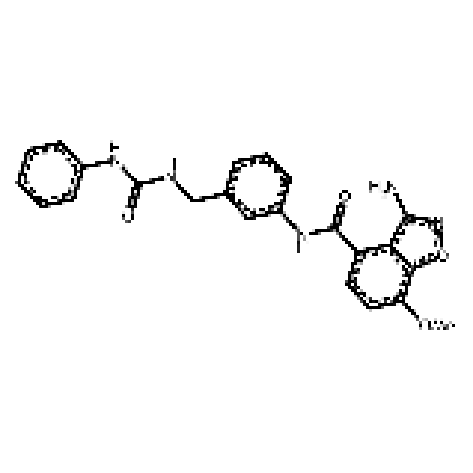 COc1ccc(C(=O)Nc2cccc(CNC(=O)Nc3ccccc3)c2)c2c(N)noc12